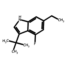 CCc1cc(F)c2c(C(C)(C)C)c[nH]c2c1